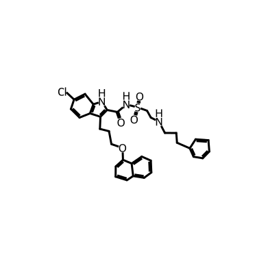 O=C(NS(=O)(=O)CCNCCCc1ccccc1)c1[nH]c2cc(Cl)ccc2c1CCCOc1cccc2ccccc12